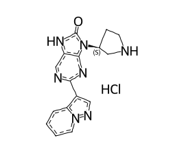 Cl.O=c1[nH]c2cnc(-c3cnn4ccccc34)nc2n1[C@H]1CCNC1